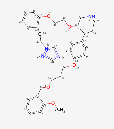 COc1ccccc1COCCCOc1ccc(C2CCNCC2OCCOc2ccccc2CCn2cncn2)cc1